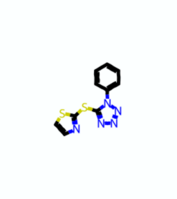 c1ccc(-n2nnnc2Sc2nccs2)cc1